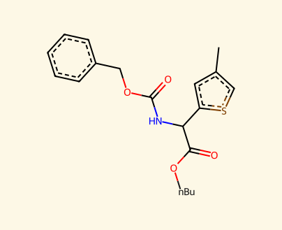 CCCCOC(=O)C(NC(=O)OCc1ccccc1)c1cc(C)cs1